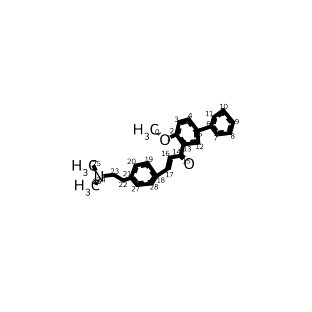 COc1ccc(-c2ccccc2)cc1C(=O)C=Cc1ccc(CCN(C)C)cc1